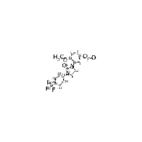 COc1ccc(OC=O)cc1N1CCN(c2ccc(C(F)(F)F)cc2)C1=O